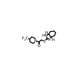 O=C(CSC1=N[C@H]2CCCC[C@@H]2N1)N1CCC(C(F)(F)F)CC1